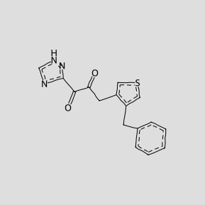 O=C(Cc1cscc1Cc1ccccc1)C(=O)c1nc[nH]n1